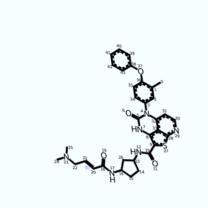 Cc1cc(N2C(=O)Nc3c(C(=O)NC4CCC(NC(=O)/C=C/CN(C)C)C4)sc4nccc2c34)ccc1Oc1ccccc1